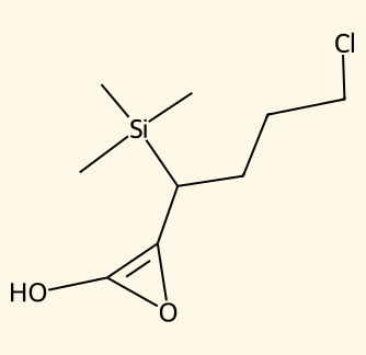 C[Si](C)(C)C(CCCCl)C1=C(O)O1